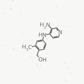 Cc1cc(Nc2ccncc2N)ccc1CO